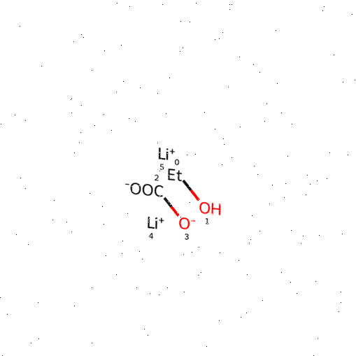 CCO.O=C([O-])[O-].[Li+].[Li+]